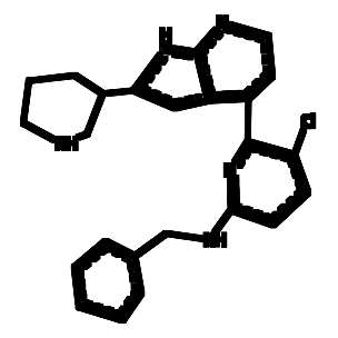 Clc1ccc(NCc2ccccc2)nc1-c1ccnc2[nH]c(C3CCCNC3)cc12